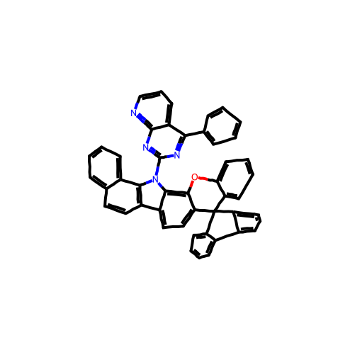 c1ccc(-c2nc(-n3c4c5c(ccc4c4ccc6ccccc6c43)C3(c4ccccc4O5)c4ccccc4-c4ccccc43)nc3ncccc23)cc1